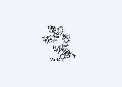 COc1ccc(S(=O)(=O)N(CC(C)C)C[C@H]2OC(C)(C)C[C@H]2Cc2ccc(NCC3CCCCC3c3sc4c(c3C(=O)OC(C)(C)C)CC(C)(C)CC4)cc2)cc1